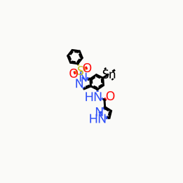 [CH3][Sn]([CH3])([CH3])[c]1cc(NC(=O)c2cc[nH]n2)c2cnn(S(=O)(=O)c3ccccc3)c2c1